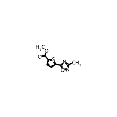 COC(=O)c1ccc(-c2nc(C)no2)s1